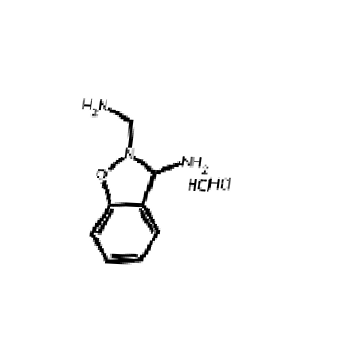 Cl.Cl.NCN1Oc2ccccc2C1N